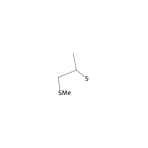 [CH2]SCC(C)[S]